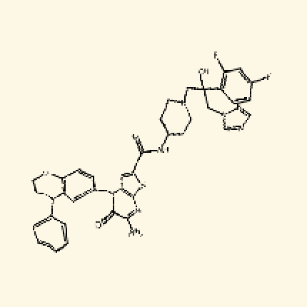 Nc1nc2sc(C(=O)NC3CCN(CC(O)(Cn4cncn4)c4ccc(F)cc4F)CC3)cc2n(-c2ccc3c(c2)N(c2ccccc2)CCO3)c1=O